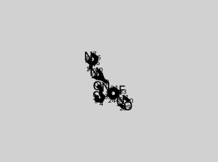 O=C(c1cccs1)N(CC1C2CN(Cc3cccnc3)CC21)c1ccc(N2CCOCC2)c(F)c1